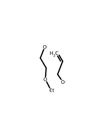 C=CC[O].CCOCC[O]